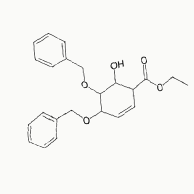 CCOC(=O)C1C=CC(OCc2ccccc2)C(OCc2ccccc2)C1O